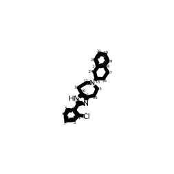 Clc1ccccc1-c1nc2c([nH]1)CCN(C1CCc3ccccc3C1)CC2